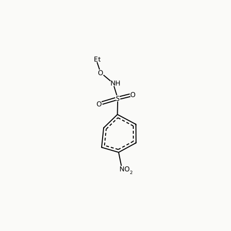 CCONS(=O)(=O)c1ccc([N+](=O)[O-])cc1